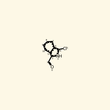 O=Cc1[nH]c(Cl)c2ccccc12